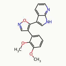 COc1cccc(-c2cnoc2-c2c[nH]c3ncccc23)c1OC